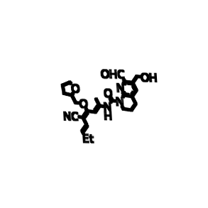 CC/C=C/C(C#N)=C(\C=C(/C)NC(=O)N1CCCc2cc(CO)c(C=O)nc21)OCC1CCCO1